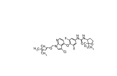 CC1(C)OCCC1NC(=O)Nc1cc(F)c(Oc2ccnc3c2c(Cl)cn3COCC[Si](C)(C)C)c(F)c1